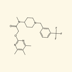 Cc1nc(OCC(=O)N(C)C2CCN(Cc3cccc(C(F)(F)F)c3)CC2)nc(C)c1C